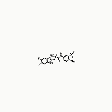 CC(O)(Cc1nc2cc(F)c(F)cc2[nH]1)C(=O)Nc1ccc(C#N)c(C(F)(F)F)c1